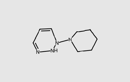 C1=CN(N2CCCCC2)NN=C1